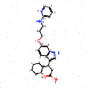 O=C(O)CC(c1c[nH]c2cc(OCCCNc3ccccn3)ccc12)C1CCCCC1